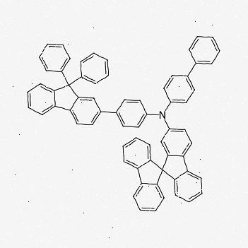 c1ccc(-c2ccc(N(c3ccc(-c4ccc5c(c4)C(c4ccccc4)(c4ccccc4)c4ccccc4-5)cc3)c3ccc4c(c3)C3(c5ccccc5-c5ccccc53)c3ccccc3-4)cc2)cc1